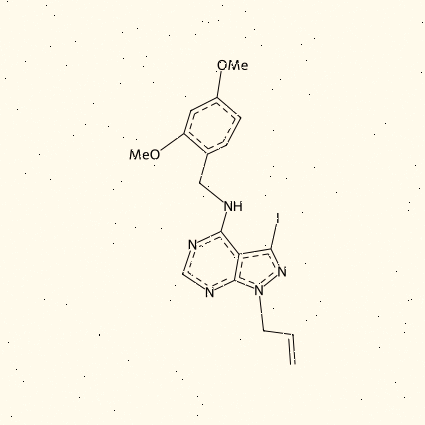 C=CCn1nc(I)c2c(NCc3ccc(OC)cc3OC)ncnc21